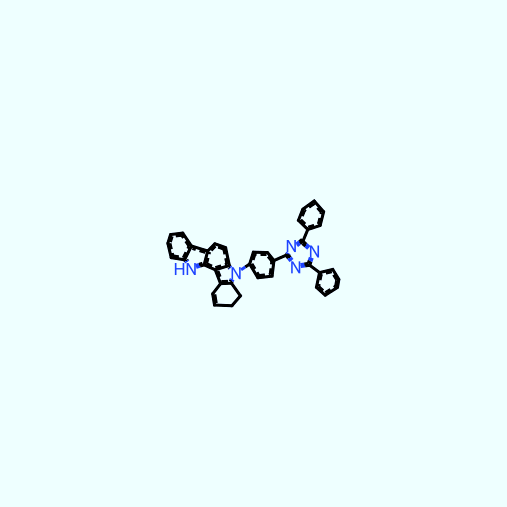 C1=Cc2c(n(-c3ccc(-c4nc(-c5ccccc5)nc(-c5ccccc5)n4)cc3)c3ccc4c5ccccc5[nH]c4c23)CC1